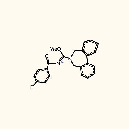 CO/C(=N\C(=O)c1ccc(F)cc1)N1Cc2ccccc2-c2ccccc2C1